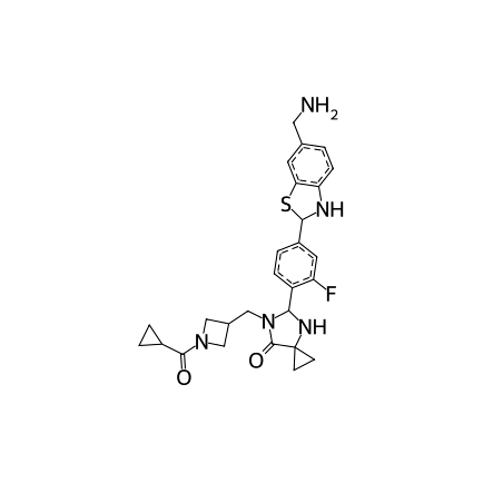 NCc1ccc2c(c1)SC(c1ccc(C3NC4(CC4)C(=O)N3CC3CN(C(=O)C4CC4)C3)c(F)c1)N2